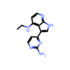 CCNc1ccnc2[nH]cc(-c3ccnc(N)n3)c12